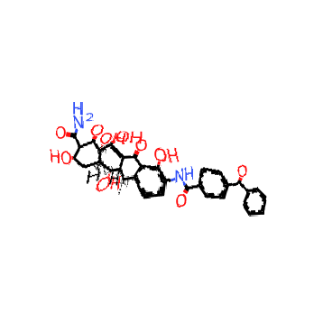 C[C@H]1c2ccc(NC(=O)c3ccc(C(=O)c4ccccc4)cc3)c(O)c2C(=O)C2=C(O)[C@]3(O)C(=O)C(C(N)=O)C(O)C[C@@H]3[C@@H](O)[C@@H]21